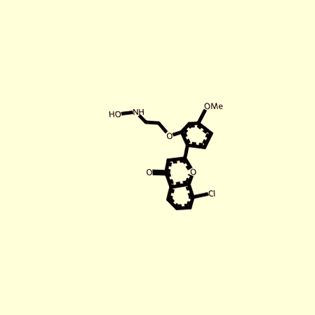 COc1ccc(-c2cc(=O)c3cccc(Cl)c3o2)c(OCCNO)c1